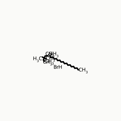 Br.CCCCCCCCCCCCCCCCCCN([SiH3])C(C)(C)CC(CC)(CC)CC